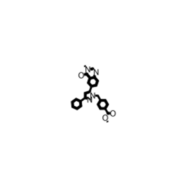 COC(=O)c1ccc(Cn2nc(-c3ccccc3)cc2-c2ccc3ncn(C)c(=O)c3c2)cc1